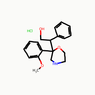 COc1ccccc1C1(C(CO)c2ccccc2)CNCCO1.Cl